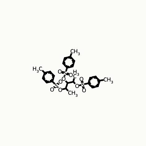 Cc1ccc(S(=O)(=O)OC(C)C(OS(=O)(=O)c2ccc(C)cc2)C(C)OS(=O)(=O)c2ccc(C)cc2)cc1